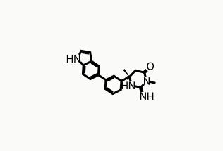 CN1C(=N)N[C@](C)(C2C=C(c3ccc4[nH]ccc4c3)C=CC2)CC1=O